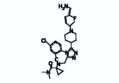 CC(/C=C\C(F)=C/N)N1CCC(c2nnc3n2-c2ccc(Cl)cc2CN(C2(C(=O)N(C)C)CC2)C3)CC1